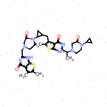 Cc1sc2[nH]c(CN3CCN(C4CC4Cc4c(C)sc5[nH]c(C(C)N6CCN(C7CC7)C(=O)C6)nc(=O)c45)C(=O)C3)nc(=O)c2c1C